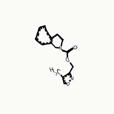 Cc1conc1COC(=O)N1CCc2ccccc2C1